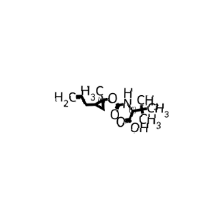 C=CCC1C[C@]1(C)OC(=O)N[C@H](C(=O)O)C(C)(C)C